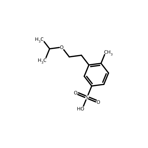 Cc1ccc(S(=O)(=O)O)cc1CCOC(C)C